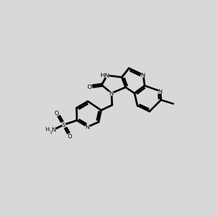 Cc1ccc2c(ncc3[nH]c(=O)n(Cc4ccc(S(N)(=O)=O)nc4)c32)n1